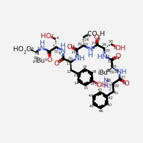 CC[C@H](C)[C@H](NC(=O)[C@H](CO)NC(=O)[C@H](Cc1ccc(O)cc1)NC(=O)[C@H](CC(=O)O)NC(=O)[C@H](CO)NC(=O)[C@@H](NC(=O)[C@@H](N)Cc1ccccc1)[C@@H](C)CC)C(=O)O